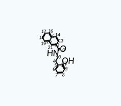 O=C(NCCc1ccccc1O)c1ccc2ccccc2c1